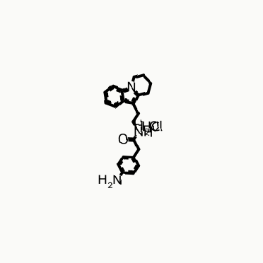 Cl.Nc1ccc(CC(=O)NCCc2c3n(c4ccccc24)CCCC3)cc1.O